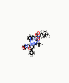 C=C(C)C(=O)[C@H](CC(C)C)NC(=O)[C@H](Cc1ccccc1)NC(=O)[C@H](CC(C)C)NC[C@H](CCc1ccccc1)NC(=O)CN1CCOCC1